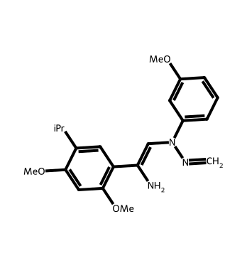 C=NN(/C=C(\N)c1cc(C(C)C)c(OC)cc1OC)c1cccc(OC)c1